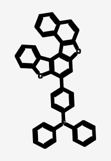 c1ccc(N(c2ccccc2)c2ccc(-c3cc4oc5ccc6ccccc6c5c4c4c3oc3ccccc34)cc2)cc1